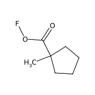 CC1(C(=O)OF)CCCC1